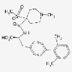 Cc1cccc(C)c1-c1ccc(C[C@H](NC(=O)C2(S(C)(=O)=O)CCN(C)CC2)C(=O)O)cc1